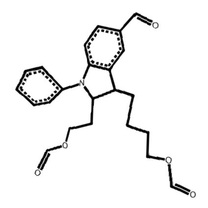 O=COCCCCC1c2cc(C=O)ccc2N(c2ccccc2)C1CCOC=O